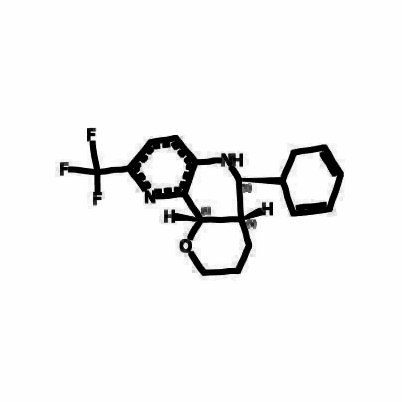 FC(F)(F)c1ccc2c(n1)[C@H]1OCCC[C@H]1[C@H](C1C=CC=CC1)N2